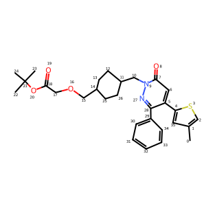 Cc1csc(-c2cc(=O)n(CC3CCC(COCC(=O)OC(C)(C)C)CC3)nc2-c2ccccc2)c1